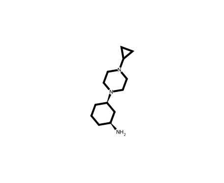 N[C@H]1CCC[C@@H](N2CCN(C3CC3)CC2)C1